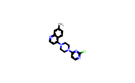 Cc1ccc2c(N3CCN(c4ccnc(Cl)n4)CC3)ccnc2c1